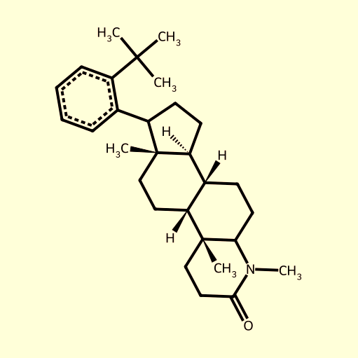 CN1C(=O)CC[C@@]2(C)C1CC[C@@H]1[C@H]2CC[C@]2(C)C(c3ccccc3C(C)(C)C)CC[C@@H]12